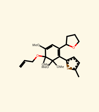 C=CCOC1(OC)C(OC)=CC(C2CCCO2)=C(c2ccc(C)s2)C1(OC)OC